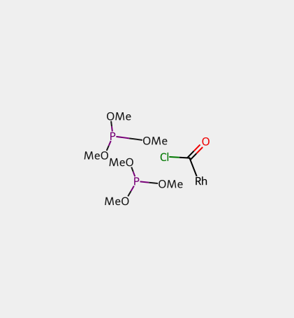 COP(OC)OC.COP(OC)OC.O=[C](Cl)[Rh]